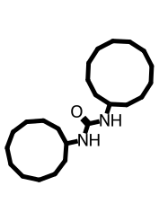 O=C(NC1CCCCCCCCCCC1)NC1CCCCCCCCCC1